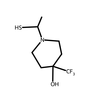 CC(S)N1CCC(O)(C(F)(F)F)CC1